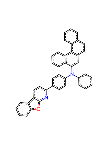 c1ccc(N(c2ccc(-c3ccc4c(n3)oc3ccccc34)cc2)c2cc3ccc4ccccc4c3c3ccccc23)cc1